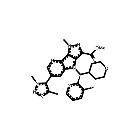 COC(=O)c1nn(C)c2c3ncc(-c4c(C)nnn4C)cc3n([C@H](c3ncccc3F)C3CCOCC3)c12